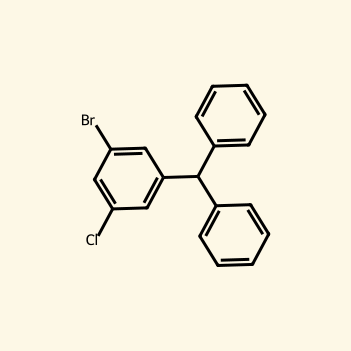 Clc1cc(Br)cc(C(c2ccccc2)c2ccccc2)c1